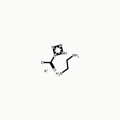 NCCN.O=C([O-])n1nn[nH]1.[K+]